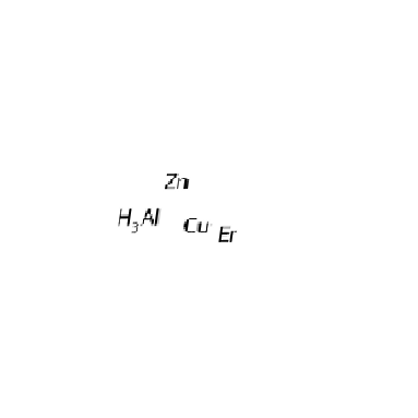 [AlH3].[Cu].[Er].[Zn]